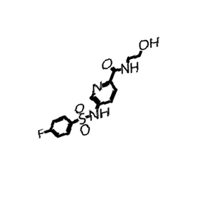 O=C(NCCO)c1ccc(NS(=O)(=O)c2ccc(F)cc2)cn1